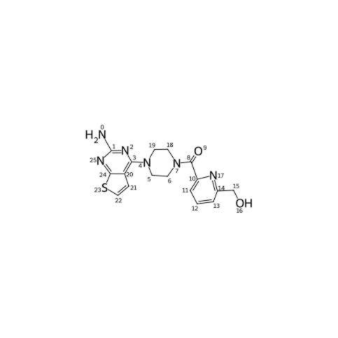 Nc1nc(N2CCN(C(=O)c3cccc(CO)n3)CC2)c2ccsc2n1